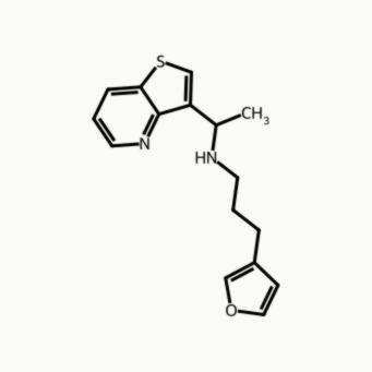 CC(NCCCc1ccoc1)c1csc2cccnc12